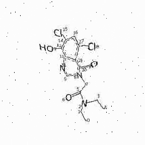 CCN(CC)C(=O)Cn1cnc2c(O)c(Cl)cc(Cl)c2c1=O